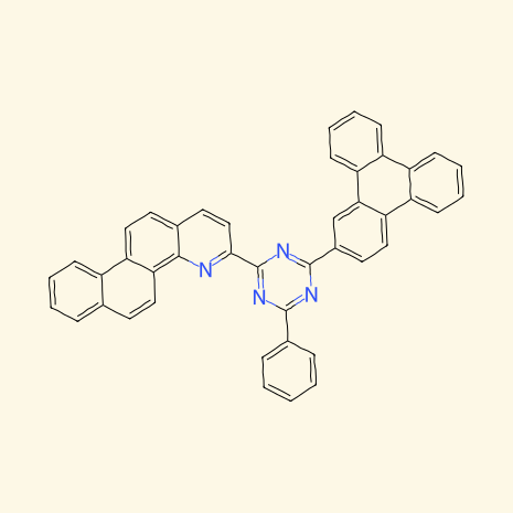 c1ccc(-c2nc(-c3ccc4c5ccccc5c5ccccc5c4c3)nc(-c3ccc4ccc5c6ccccc6ccc5c4n3)n2)cc1